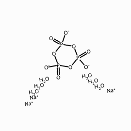 O.O.O.O.O.O.O=P1([O-])OP(=O)([O-])OP(=O)([O-])O1.[Na+].[Na+].[Na+]